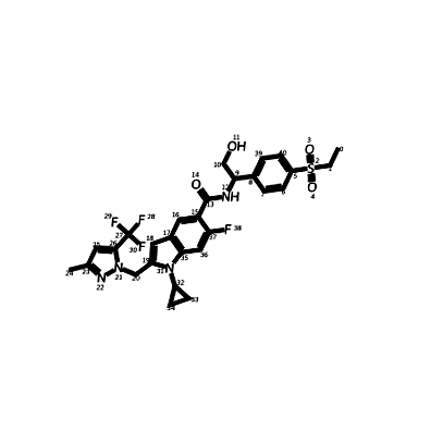 CCS(=O)(=O)c1ccc(C(CO)NC(=O)c2cc3cc(Cn4nc(C)cc4C(F)(F)F)n(C4CC4)c3cc2F)cc1